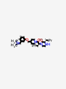 CC(C)C[C@@H]1NCCN([C@@H](CC(C)C)C(=O)N2CCC(COc3cccc(CN(C)C)c3)CC2)C1=O